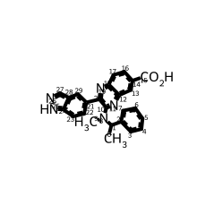 CC(c1ccccc1)N(C)c1nc2cc(C(=O)O)ccc2nc1-c1ccc2[nH]ncc2c1